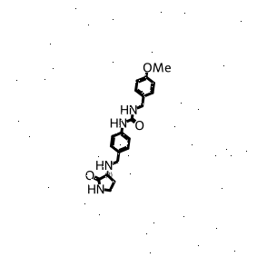 COc1ccc(CNC(=O)Nc2ccc(CN[C@@H]3CCNC3=O)cc2)cc1